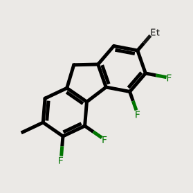 CCc1cc2c(c(F)c1F)-c1c(cc(C)c(F)c1F)C2